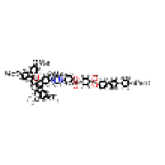 CCCCC[C@H]1CC[C@H](c2ccc(-c3ccc(OC(=O)[C@H]4CC[C@H](C(=O)Oc5ccc(N6CCN(c7cc8c9c(c%10c(c8cc7OC)OC(c7ccc(OC)cc7)(c7ccc(OC)cc7)C=C%10)C(C)(C)c7c-9cc(C(F)(F)F)cc7C(F)(F)F)CC6)cc5)CC4)cc3)cc2)CC1